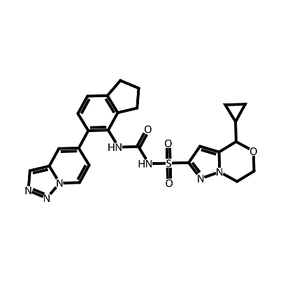 O=C(Nc1c(-c2ccn3nncc3c2)ccc2c1CCC2)NS(=O)(=O)c1cc2n(n1)CCOC2C1CC1